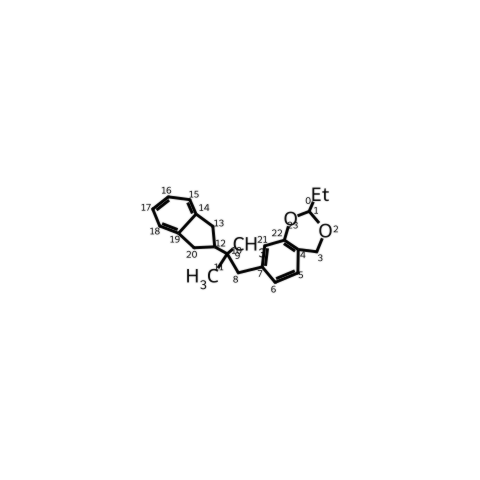 CCC1OCc2ccc(CC(C)(C)C3Cc4ccccc4C3)cc2O1